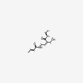 CC=CC(=O)NCCN(CO)C(=O)N=CC